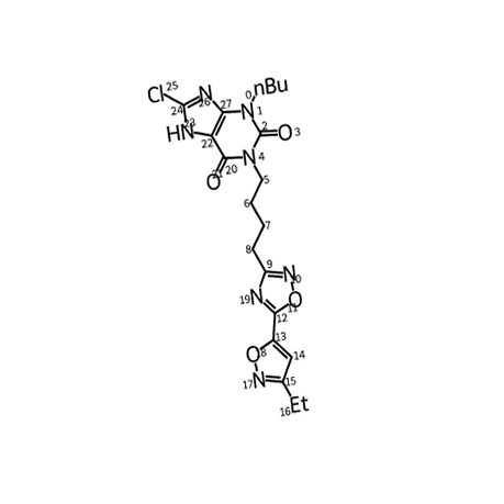 CCCCn1c(=O)n(CCCCc2noc(-c3cc(CC)no3)n2)c(=O)c2[nH]c(Cl)nc21